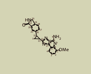 COc1cccc2c1nc(N)n1nc(C3CC3c3ccc4c(c3)C(=O)NC4)nc21